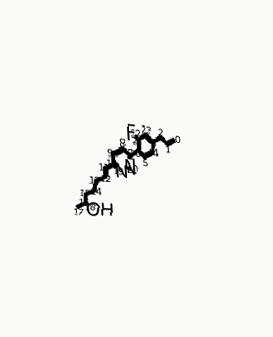 C=CCc1ccc(-c2ccc(/C=C/CCCC(C)O)nn2)c(F)c1